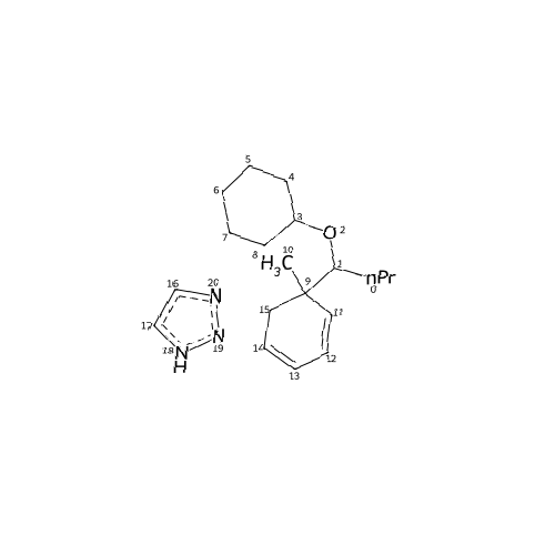 CCCC(OC1CCCCC1)C1(C)C=CC=CC1.c1c[nH]nn1